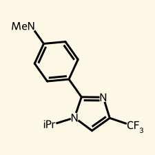 CNc1ccc(-c2nc(C(F)(F)F)cn2C(C)C)cc1